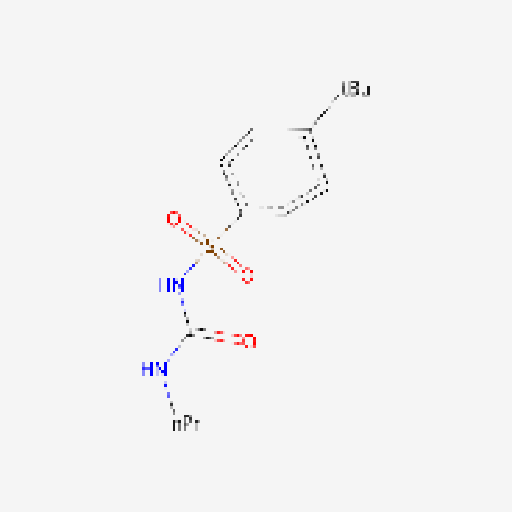 CCCNC(=O)NS(=O)(=O)c1ccc(C(C)(C)C)cc1